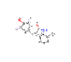 N#Cc1cccc2c1NC(=O)C2=Cc1cc(I)c(O)c(I)c1